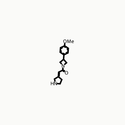 COc1ccc(C2CN(C(=O)C=C3CCNC3)C2)cc1